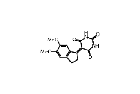 COc1cc2c(cc1OC)C(=C1C(=O)NC(=O)NC1=O)CC2